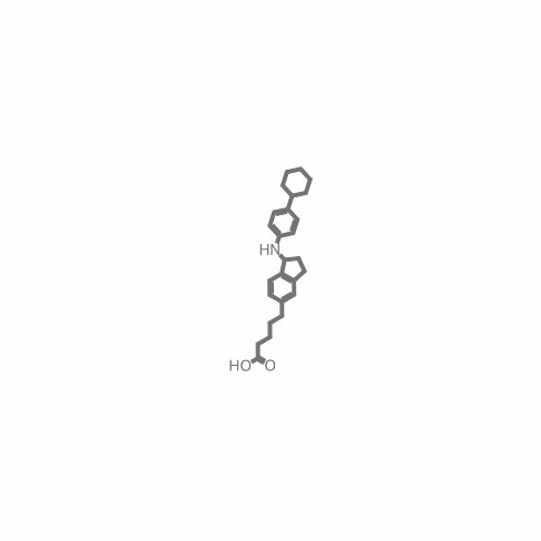 O=C(O)CCCCc1ccc2c(c1)CCC2Nc1ccc(C2CCCCC2)cc1